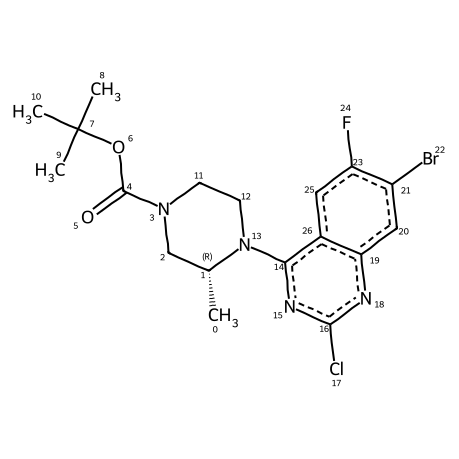 C[C@@H]1CN(C(=O)OC(C)(C)C)CCN1c1nc(Cl)nc2cc(Br)c(F)cc12